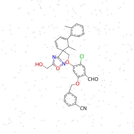 Cc1ccccc1C1=CC=CC(COc2cc(OCc3cccc(C#N)c3)c(C=O)cc2Cl)(c2noc(CO)n2)C1C